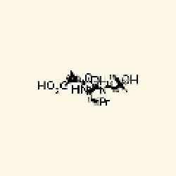 CC(C)C[C@H](NC(=O)[C@H]1C[C@@H]1C(=O)O)C(=O)NCCC(C)(C)O